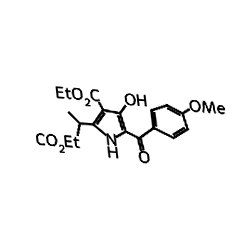 CCOC(=O)c1c(C(C)C(=O)OCC)[nH]c(C(=O)c2ccc(OC)cc2)c1O